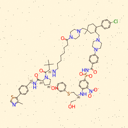 Cc1ncsc1-c1ccc([C@H](C)NC(=O)[C@@H]2C[C@@H](O)CN2C(=O)[C@@H](NCCCCCCCC(=O)N2CCN(CC3(C)CCC(c4ccc(Cl)cc4)=C(CN4CCN(c5ccc(C(=O)NS(=O)(=O)c6ccc(N[C@H](CCO)CSc7ccccc7)c([N+](=O)[O-])c6)cc5)CC4)C3)CC2)C(C)(C)C)cc1